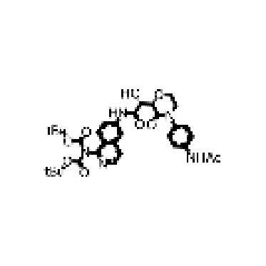 CC(=O)Nc1ccc(N2CCO[C@H]([C@@H](O)C(=O)Nc3ccc4c(N(C(=O)OC(C)(C)C)C(=O)OC(C)(C)C)nccc4c3)C2=O)cc1